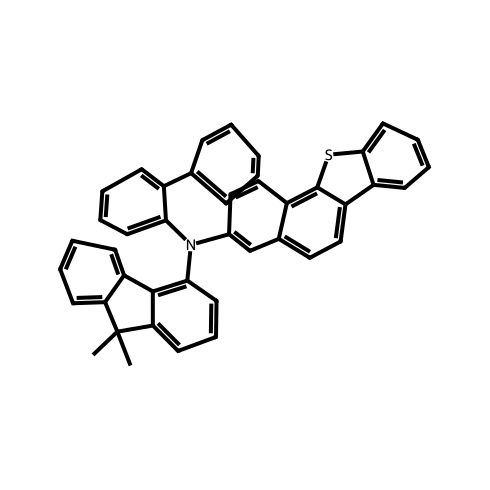 CC1(C)c2ccccc2-c2c(N(c3ccc4c(ccc5c6ccccc6sc45)c3)c3ccccc3-c3ccccc3)cccc21